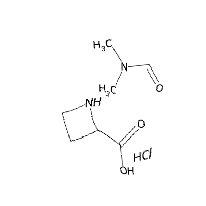 CN(C)C=O.Cl.O=C(O)C1CCN1